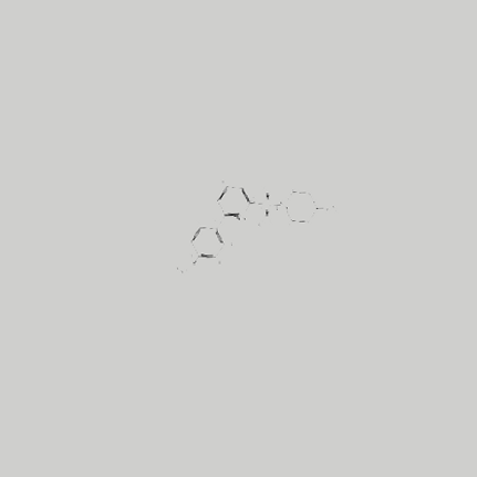 CC(=O)C1CCN(S(=O)(=O)c2cccc(-c3ccc(C#N)cc3)n2)CC1